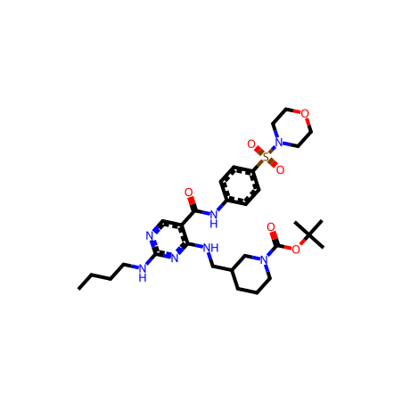 CCCCNc1ncc(C(=O)Nc2ccc(S(=O)(=O)N3CCOCC3)cc2)c(NCC2CCCN(C(=O)OC(C)(C)C)C2)n1